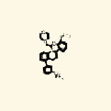 O=C(CN1CCOCC1)N1c2cccc(-c3cccc(OC(F)(F)F)c3)c2CCC1c1cccc(OC(F)(F)F)c1